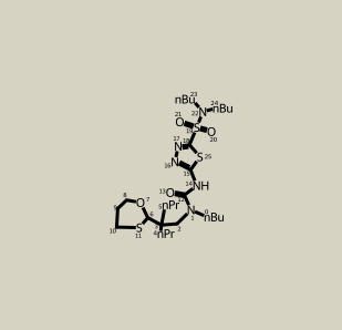 CCCCN(CC(CCC)(CCC)C1OCCCS1)C(=O)Nc1nnc(S(=O)(=O)N(CCCC)CCCC)s1